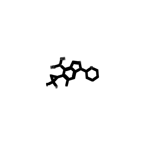 Cc1cc2c(cnn2C2CCCCO2)c(B(O)O)c1C1CC1(F)F